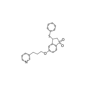 O=S1(=O)CC(Sc2ccccc2)c2cc(OCCCc3cccnc3)ccc21